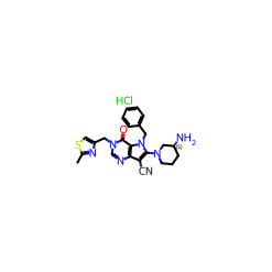 Cc1nc(Cn2cnc3c(C#N)c(N4CCC[C@H](N)C4)n(Cc4ccccc4)c3c2=O)cs1.Cl